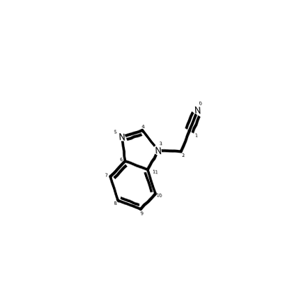 N#CCn1[c]nc2ccccc21